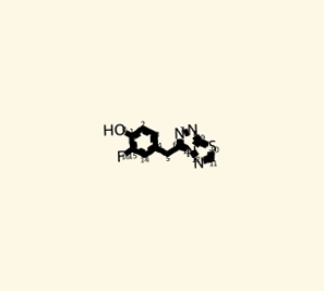 Oc1ccc(Cc2nnc3scnn23)cc1F